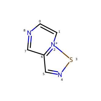 c1c[n+]2sncc2cn1